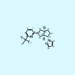 FC(F)(F)c1cccc(N2C[C@H]3CC[C@H](n4cccn4)[C@H]3C2)n1